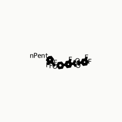 CCCCCc1ccc(C(F)(F)OC2CCC(c3ccc(C4COC(c5ccc(F)c(F)c5)OC4)c(F)c3)CC2)c(F)c1